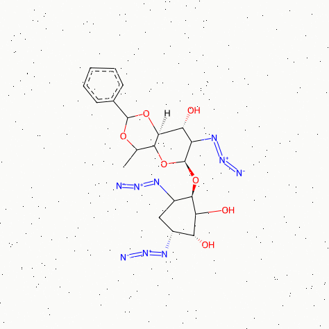 CC1OC(c2ccccc2)O[C@@H]2C1O[C@H](O[C@@H]1C(N=[N+]=[N-])C[C@@H](N=[N+]=[N-])[C@@H](O)C1O)C(N=[N+]=[N-])[C@H]2O